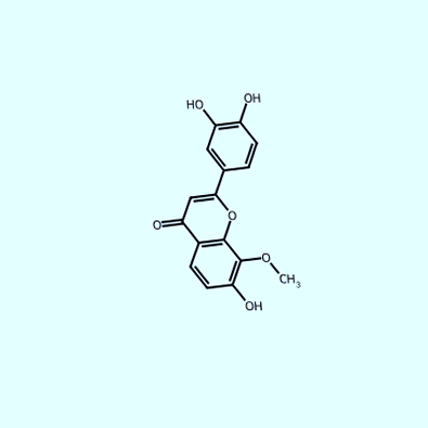 COc1c(O)ccc2c(=O)cc(-c3ccc(O)c(O)c3)oc12